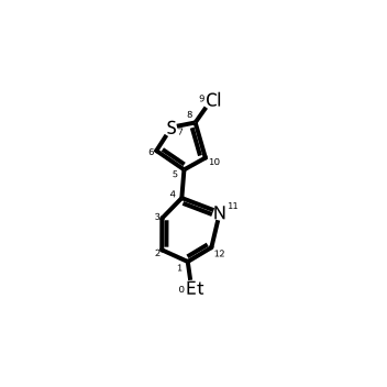 CCc1ccc(-c2csc(Cl)c2)nc1